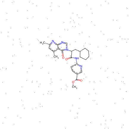 COC(=O)c1ccc(NC(=O)C(CC2CCCCC2)n2cnc3nc(C)cc(C)c3c2=O)nc1